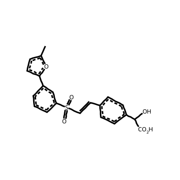 Cc1ccc(-c2cccc(S(=O)(=O)C=Cc3ccc(C(O)C(=O)O)cc3)c2)o1